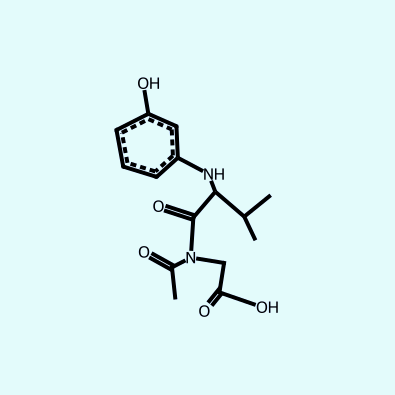 CC(=O)N(CC(=O)O)C(=O)C(Nc1cccc(O)c1)C(C)C